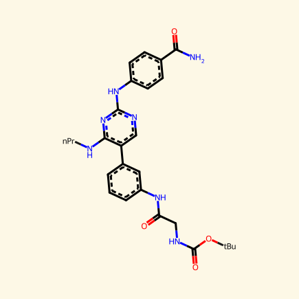 CCCNc1nc(Nc2ccc(C(N)=O)cc2)ncc1-c1cccc(NC(=O)CNC(=O)OC(C)(C)C)c1